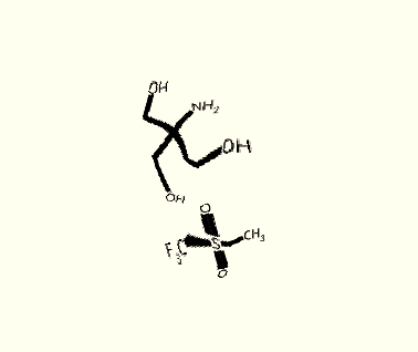 CS(=O)(=O)C(F)(F)F.NC(CO)(CO)CO